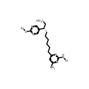 CCNc1nc(N)cc(CCCCCC[C@@H](CC(=O)O)c2cnc(OCC)nc2)n1